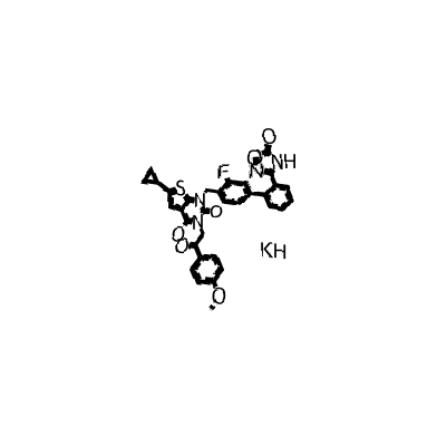 COc1ccc(C(=O)Cn2c(=O)c3cc(C4CC4)sc3n(Cc3ccc(-c4ccccc4-c4noc(=O)[nH]4)cc3F)c2=O)cc1.[KH]